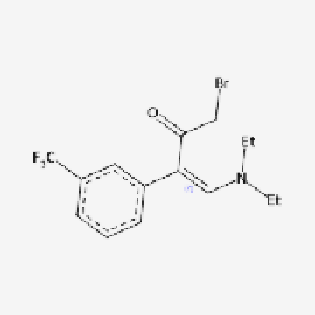 CCN(/C=C(\C(=O)CBr)c1cccc(C(F)(F)F)c1)CC